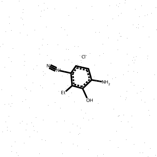 CCc1c([N+]#N)ccc(N)c1O.[Cl-]